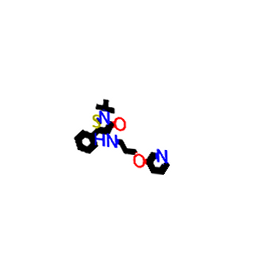 CC(C)(C)n1sc(-c2ccccc2)c(NCCCOc2cccnc2)c1=O